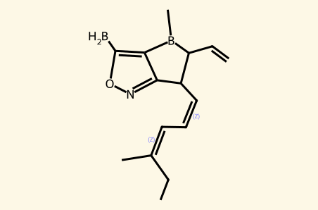 Bc1onc2c1B(C)C(C=C)C2/C=C\C=C(\C)CC